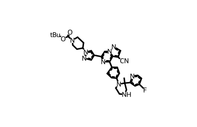 CC(C)(C)OC(=O)N1CCC(n2cc(-c3cn4ncc(C#N)c4c(-c4ccc(N5CCNCC5(C)c5cc(F)ccn5)cc4)n3)cn2)CC1